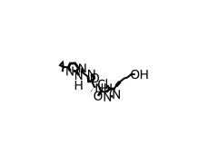 C[C@@H](NC(=O)c1ncnc(C#CCCCO)c1Cl)c1cc(-c2nc3ccc(C4(C)CC4)nc3[nH]2)no1